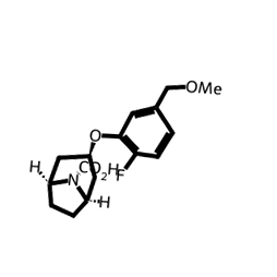 COCc1ccc(F)c(O[C@H]2C[C@H]3CC[C@@H](C2)N3C(=O)O)c1